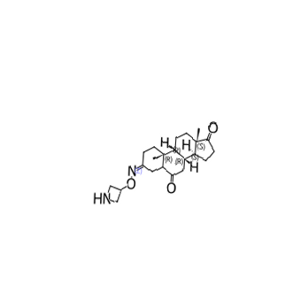 C[C@]12CC/C(=N/OC3CNC3)CC1C(=O)C[C@@H]1[C@H]2CC[C@]2(C)C(=O)CC[C@@H]12